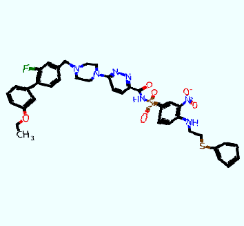 CCOc1cccc(-c2ccc(CN3CCN(c4ccc(C(=O)NS(=O)(=O)c5ccc(NCCSc6ccccc6)c([N+](=O)[O-])c5)nn4)CC3)cc2F)c1